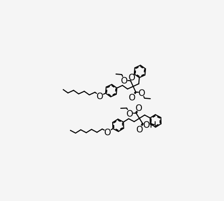 CCCCCCCOc1ccc(CCC(Cc2ccccc2)(C(=O)O)C(=O)OCC)cc1.CCCCCCCOc1ccc(CCC(Cc2ccccc2)(C(=O)OCC)C(=O)OCC)cc1